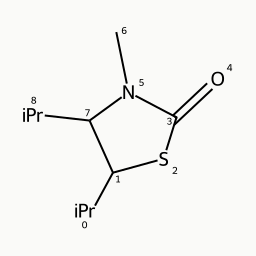 CC(C)C1SC(=O)N(C)C1C(C)C